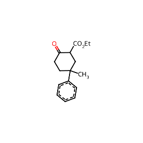 CCOC(=O)C1CC(C)(c2ccccc2)CCC1=O